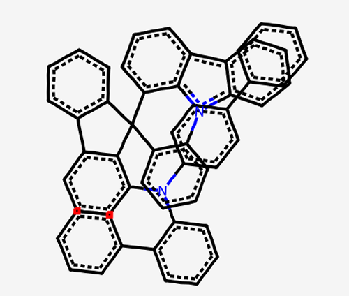 c1ccc(-c2ccc(N(c3ccccc3-c3ccccc3)c3cccc4c3C3(c5ccccc5-4)c4ccccc4-n4c5ccccc5c5cccc3c54)cc2)cc1